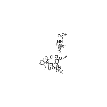 C#CCOc1cc(-n2nc(C(C)(C)C)oc2=O)c(Cl)cc1Cl.CCc1cccc(C)c1N(C(=O)CCl)C(C)COC.C[S+](C)C.O=C(O)CNCP(=O)([O-])O